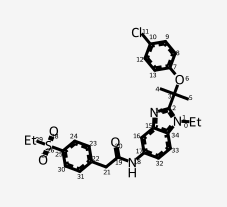 CCn1c(C(C)(C)Oc2ccc(Cl)cc2)nc2cc(NC(=O)Cc3ccc(S(=O)(=O)CC)cc3)ccc21